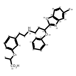 CC(Oc1cccc(CCNCCC(Oc2ccccc2)c2nc3cc(F)ccc3o2)c1)C(=O)O